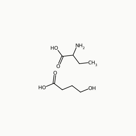 CCC(N)C(=O)O.O=C(O)CCCO